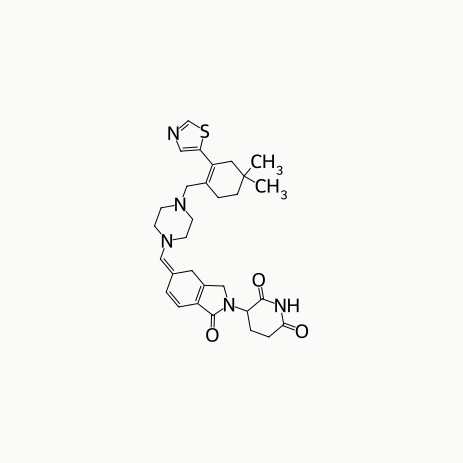 CC1(C)CCC(CN2CCN(C=C3C=CC4=C(C3)CN(C3CCC(=O)NC3=O)C4=O)CC2)=C(c2cncs2)C1